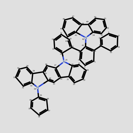 c1ccc(-c2cccc(-c3ccccc3-n3c4ccccc4c4cc5c(cc43)c3ccccc3n5-c3ccccc3)c2-n2c3ccccc3c3ccccc32)cc1